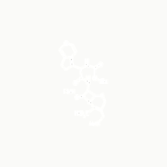 CC(=O)OCC1=C(C(=O)O)N2C(=O)C(NC(=O)C(NC(=O)OC(C)(C)C)C3=C4C=COC=C4CC3)C2SC1.[NaH]